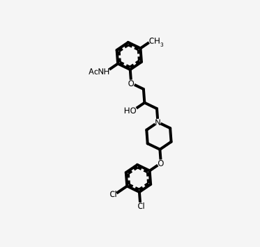 CC(=O)Nc1ccc(C)cc1OCC(O)CN1CCC(Oc2ccc(Cl)c(Cl)c2)CC1